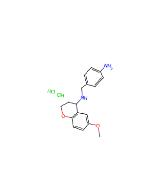 COc1ccc2c(c1)C(NCc1ccc(N)cc1)CCO2.Cl.Cl